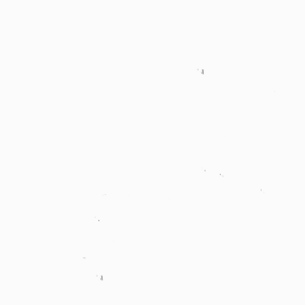 CCc1cc(-c2cnc3ccc(-c4ccc(C(=O)N5CCC6(CCCCN6)CC5)cc4)nn23)ccc1NC=O